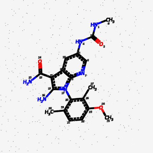 CNC(=O)Nc1cnc2c(c1)c(C(N)=O)c(N)n2-c1c(C)ccc(OC)c1C